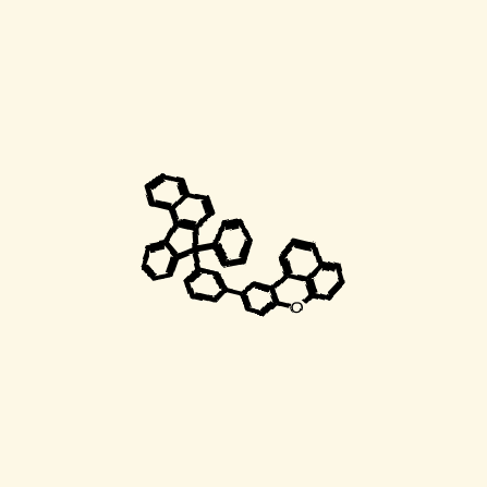 c1ccc(C2(c3cccc(-c4ccc5c(c4)-c4cccc6cccc(c46)O5)c3)c3ccccc3-c3c2ccc2ccccc32)cc1